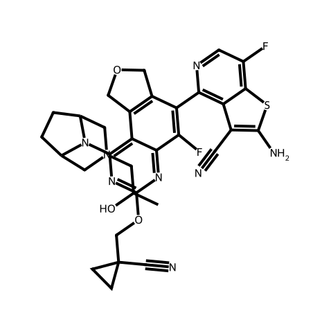 CC(O)CN1CC2CCC(C1)N2c1nc(OCC2(C#N)CC2)nc2c(F)c(-c3ncc(F)c4sc(N)c(C#N)c34)c3c(c12)COC3